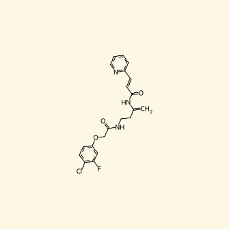 C=C(CCNC(=O)COc1ccc(Cl)c(F)c1)NC(=O)/C=C/c1ccccn1